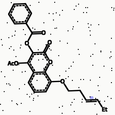 CC/C=C/CCOc1cccc2c(OC(C)=O)c(OC(=O)c3ccccc3)c(=O)oc12